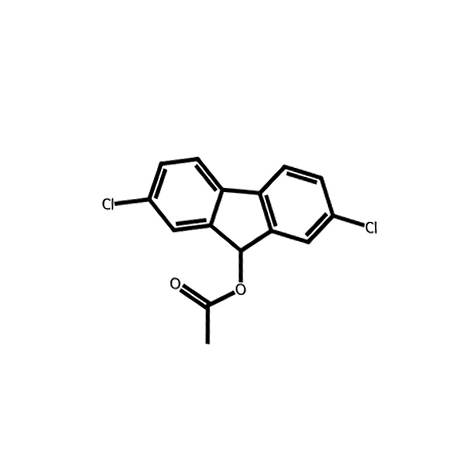 CC(=O)OC1c2cc(Cl)ccc2-c2ccc(Cl)cc21